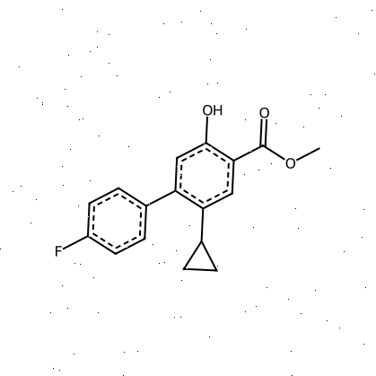 COC(=O)c1cc(C2CC2)c(-c2ccc(F)cc2)cc1O